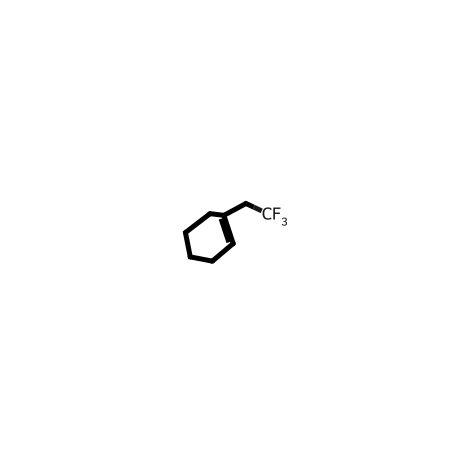 FC(F)(F)CC1=CCCCC1